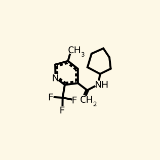 C=C(NC1CCCCC1)c1cc(C)cnc1C(F)(F)F